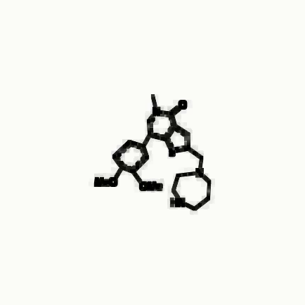 COc1ccc(-c2cn(C)c(=O)c3cc(CN4CCCNCC4)sc23)cc1OC